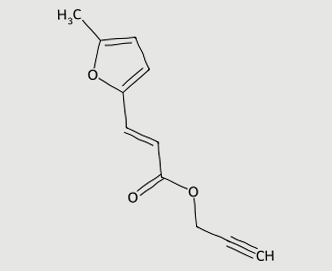 C#CCOC(=O)/C=C/c1ccc(C)o1